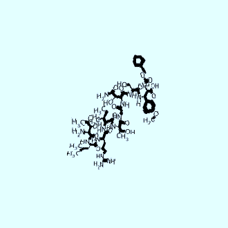 CC[C@H](C)C(NC(=O)[C@@H](CCCNC(=N)N)NC(=O)[C@H](CC(C)C)NC(=O)[C@@H](N)[C@H](O)C(C)C)C(=O)N[C@H](C(=O)NCC(=O)N[C@H](C(=O)N[C@@H](CO)C(=O)N[C@@H](c1ccc(OC)cc1)[C@@H](NC(=O)OCc1ccccc1)C(=O)O)[C@H](O)C(N)=O)[C@H](C)O